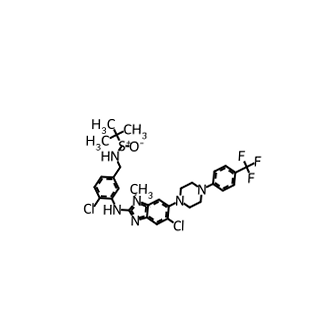 Cn1c(Nc2cc(CN[S+]([O-])C(C)(C)C)ccc2Cl)nc2cc(Cl)c(N3CCN(c4ccc(C(F)(F)F)cc4)CC3)cc21